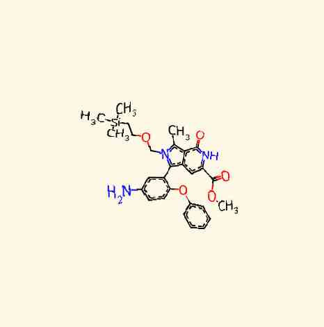 COC(=O)c1cc2c(-c3cc(N)ccc3Oc3ccccc3)n(COCC[Si](C)(C)C)c(C)c2c(=O)[nH]1